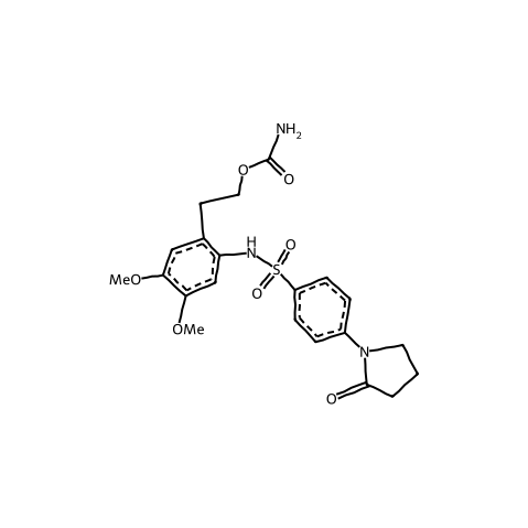 COc1cc(CCOC(N)=O)c(NS(=O)(=O)c2ccc(N3CCCC3=O)cc2)cc1OC